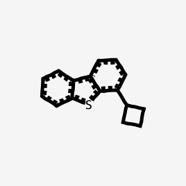 c1ccc2c(c1)sc1c(C3CCC3)cccc12